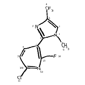 Cn1cc(C(F)(F)F)nc1-c1ccc(Cl)nc1F